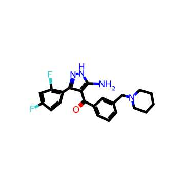 Nc1[nH]nc(-c2ccc(F)cc2F)c1C(=O)c1cccc(CN2CCCCC2)c1